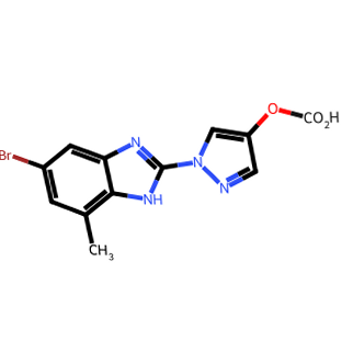 Cc1cc(Br)cc2nc(-n3cc(OC(=O)O)cn3)[nH]c12